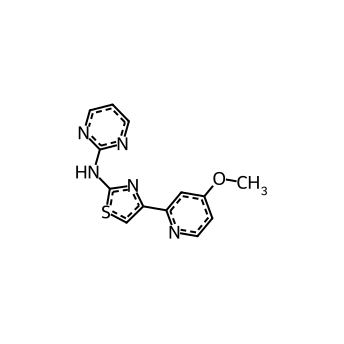 COc1ccnc(-c2csc(Nc3ncccn3)n2)c1